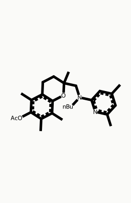 CCCCN(CC1(C)CCc2c(C)c(OC(C)=O)c(C)c(C)c2O1)c1cc(C)cc(C)n1